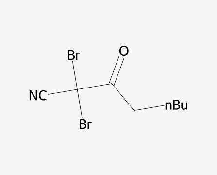 CCCCCC(=O)C(Br)(Br)C#N